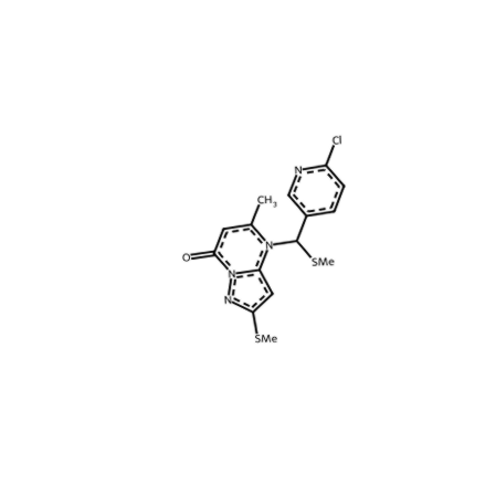 CSc1cc2n(C(SC)c3ccc(Cl)nc3)c(C)cc(=O)n2n1